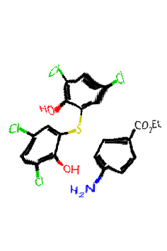 CCOC(=O)c1ccc(N)cc1.Oc1c(Cl)cc(Cl)cc1Sc1cc(Cl)cc(Cl)c1O